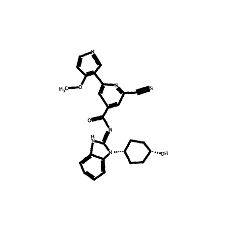 COc1ccncc1-c1cc(C(=O)/N=c2\[nH]c3ccccc3n2[C@H]2CC[C@@H](O)CC2)cc(C#N)n1